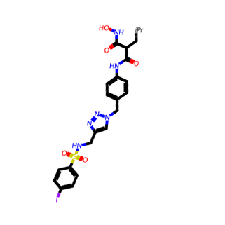 CC(C)CC(C(=O)NO)C(=O)Nc1ccc(Cn2cc(CNS(=O)(=O)c3ccc(I)cc3)nn2)cc1